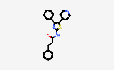 O=C(CCc1ccccc1)Nc1nc(-c2ccccc2)c(-c2ccncc2)s1